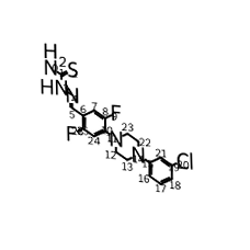 NC(=S)NN=Cc1cc(F)c(N2CCN(c3cccc(Cl)c3)CC2)cc1F